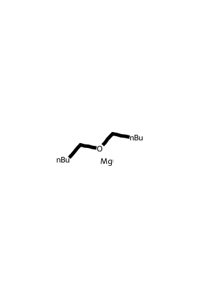 CCCCCOCCCCC.[Mg]